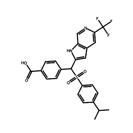 CC(C)c1ccc(S(=O)(=O)C(c2ccc(C(=O)O)cc2)c2cc3cc(C(F)(F)F)ncc3[nH]2)cc1